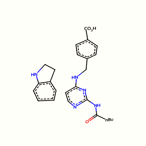 CCCCC(=O)Nc1nccc(NCc2ccc(C(=O)O)cc2)n1.c1ccc2c(c1)CCN2